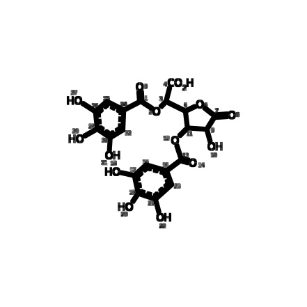 O=C(OC(C(=O)O)C1OC(=O)C(O)C1OC(=O)c1cc(O)c(O)c(O)c1)c1cc(O)c(O)c(O)c1